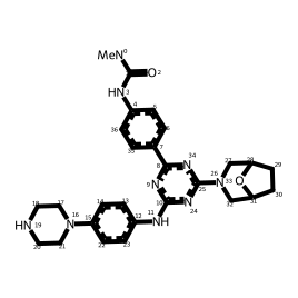 CNC(=O)Nc1ccc(-c2nc(Nc3ccc(N4CCNCC4)cc3)nc(N3CC4CCC(C3)O4)n2)cc1